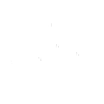 Clc1ccccc1-c1nc(N2CCSCC2)c2ccccc2n1